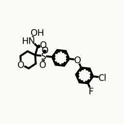 O=C(NO)C1(S(=O)(=O)c2ccc(Oc3ccc(F)c(Cl)c3)cc2)CCOCC1